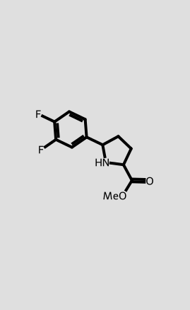 COC(=O)C1CCC(c2ccc(F)c(F)c2)N1